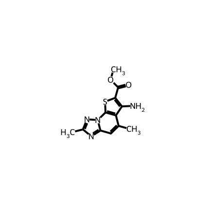 COC(=O)c1sc2c(c(C)cc3nc(C)nn32)c1N